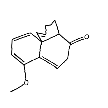 COC1=CC=CC23C=CCCCC2C(=O)CC=C13